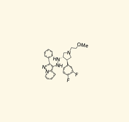 COCCN1C[C@@H](NNc2c(-c3ccccc3)nn3ccccc23)[C@H](c2ccc(F)c(F)c2)C1